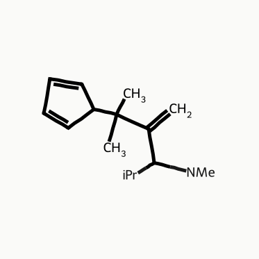 C=C(C(NC)C(C)C)C(C)(C)C1C=CC=C1